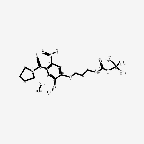 COc1cc(C(=O)N2CCC[C@H]2CO)c([N+](=O)[O-])cc1OCCCNC(=O)OC(C)(C)C